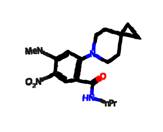 CCCNC(=O)c1cc([N+](=O)[O-])c(NC)cc1N1CCC2(CC1)CC2